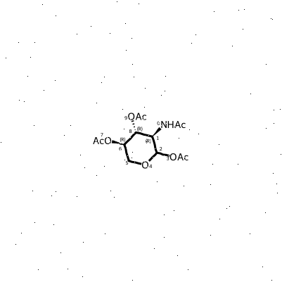 CC(=O)N[C@H]1C(OC(C)=O)OC[C@@H](OC(C)=O)[C@@H]1OC(C)=O